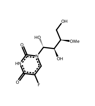 CO[C@H](CO)[C@@H](O)[C@@H](O)n1cc(F)c(=O)[nH]c1=O